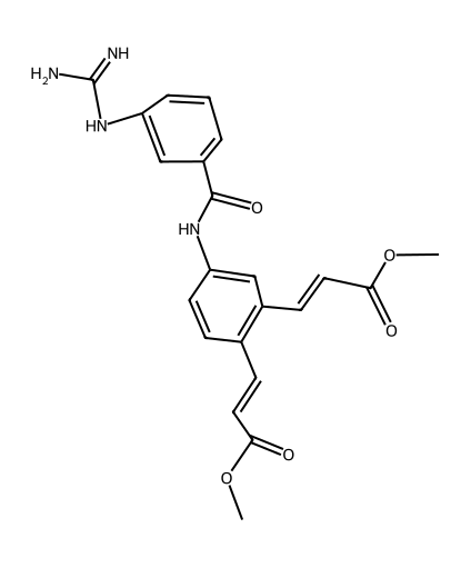 COC(=O)/C=C/c1ccc(NC(=O)c2cccc(NC(=N)N)c2)cc1/C=C/C(=O)OC